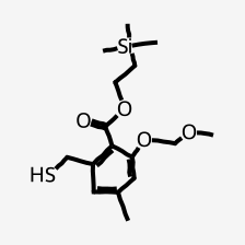 COCOc1cc(C)cc(CS)c1C(=O)OCC[Si](C)(C)C